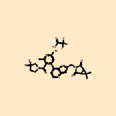 Cc1nc(C#N)cc(-c2ccnc3cc(CN4C(=O)C5C(C4=O)C5(C)C)sc23)c1C(=O)N1CCC(F)(F)C1.O=C(O)C(F)(F)F